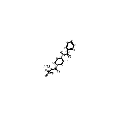 C[C@@H]1CN(C(=O)[C@@H](O)C(F)(F)F)CC[C@@H]1N(C)C(=O)c1ccccc1